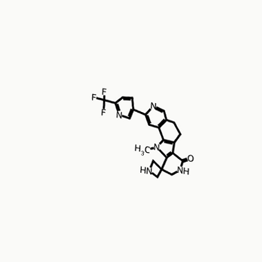 Cn1c2c(c3c1C1(CNC1)CNC3=O)CCc1cnc(-c3ccc(C(F)(F)F)nc3)cc1-2